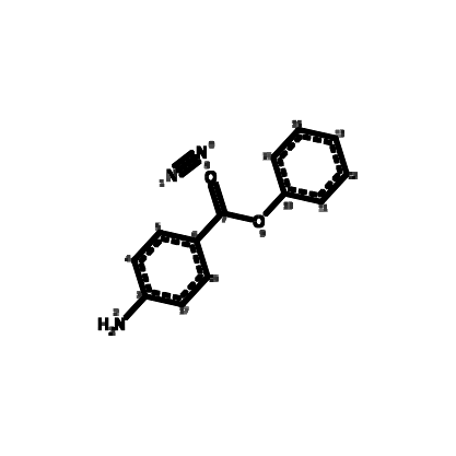 N#N.Nc1ccc(C(=O)Oc2ccccc2)cc1